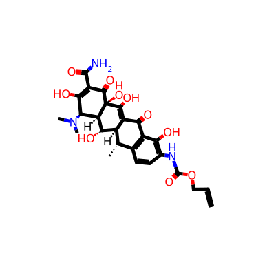 C=CCOC(=O)Nc1ccc2c(c1O)C(=O)C1=C(O)[C@@]3(O)C(=O)C(C(N)=O)=C(O)[C@H](N(C)C)[C@@H]3[C@@H](O)[C@@H]1[C@H]2C